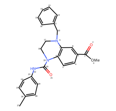 COC(=O)c1ccc2c(c1)N(Cc1ccccc1)CCN2C(=O)Nc1ccc(C)cc1